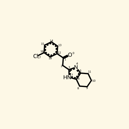 O=C(Cc1nc2c([nH]1)CCCC2)c1cccc(Cl)c1